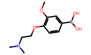 COc1cc(B(O)O)ccc1OCCN(C)C